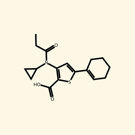 CCC(=O)N(c1cc(C2=CCCCC2)sc1C(=O)O)C1CC1